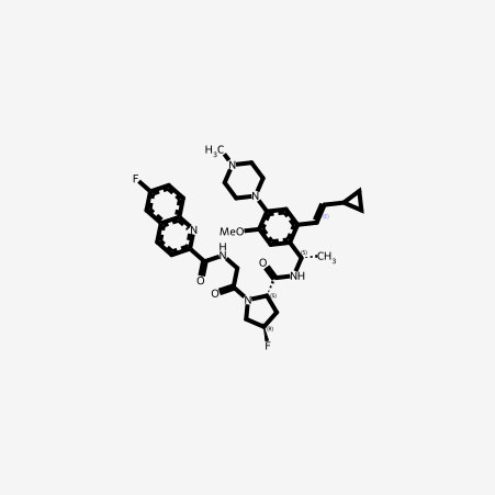 COc1cc([C@H](C)NC(=O)[C@@H]2C[C@@H](F)CN2C(=O)CNC(=O)c2ccc3cc(F)ccc3n2)c(/C=C/C2CC2)cc1N1CCN(C)CC1